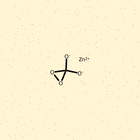 [O-]C1([O-])OO1.[Zn+2]